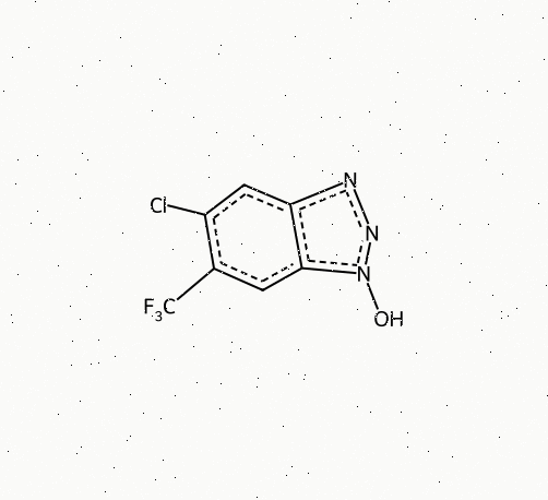 On1nnc2cc(Cl)c(C(F)(F)F)cc21